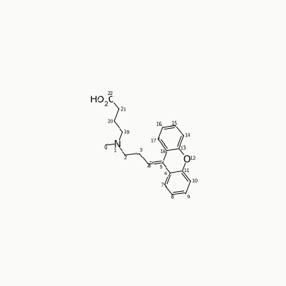 CN(CCC=C1c2ccccc2Oc2ccccc21)CCCC(=O)O